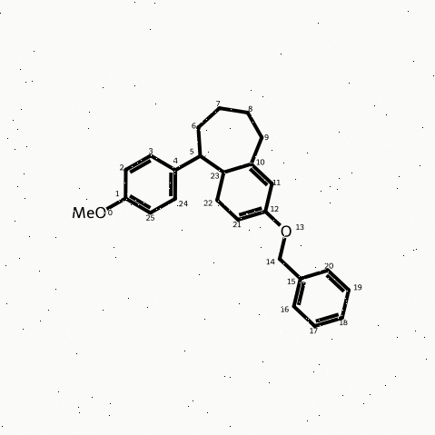 COc1ccc([C]2CCCCC3=CC(OCc4ccccc4)=CCC23)cc1